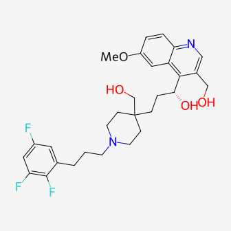 COc1ccc2ncc(CO)c([C@H](O)CCC3(CO)CCN(CCCc4cc(F)cc(F)c4F)CC3)c2c1